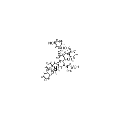 Cc1cc(OCC2(OCCCN3CC[C@@H](O)C3)C=CC=C(c3ccccc3)C2(C)C)cc(OCc2cncc(C#N)c2)c1CN1CCCC[C@H]1C(=O)O